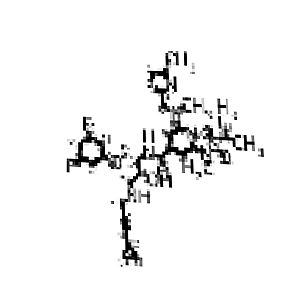 Cc1csc(CN(C)c2cc(C(=O)N[C@@H](COc3cc(F)cc(F)c3)[C@H](O)CNCC#CC3CC3)cc(N(C)S(=O)(=O)C(C)C)n2)n1